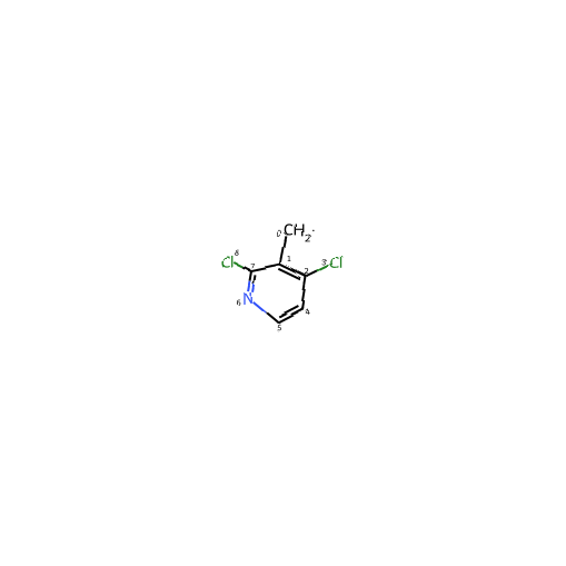 [CH2]c1c(Cl)ccnc1Cl